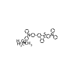 C[Si](C)(C)c1ccc(N(c2ccccc2)c2ccc(-c3ccc4c(c3)c3ccccc3c3c5ccc(N(c6ccccc6)c6ccccc6)cc5sc43)cc2)cc1